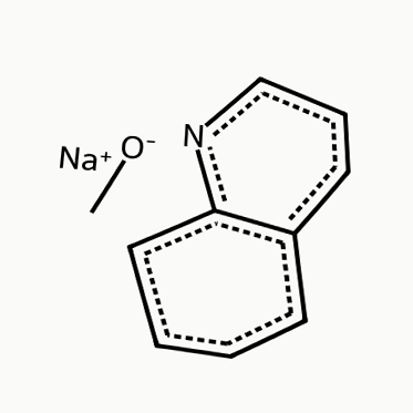 C[O-].[Na+].c1ccc2ncccc2c1